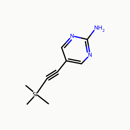 C[Si](C)(C)C#Cc1cnc(N)nc1